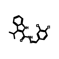 CC(C)c1c(C(=O)N/N=C\c2ccc(Cl)c(Cl)c2)[nH]c2ccccc12